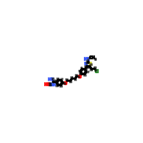 CNc1nc(-c2ccc(OCCCCCOc3ccc(C(=N)NO)cc3)cc2)c(CCCl)s1